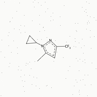 Cc1cc(C(F)(F)F)nn1C1CC1